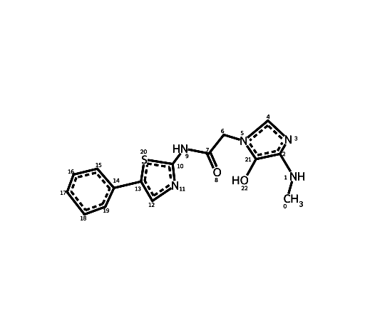 CNc1ncn(CC(=O)Nc2ncc(-c3ccccc3)s2)c1O